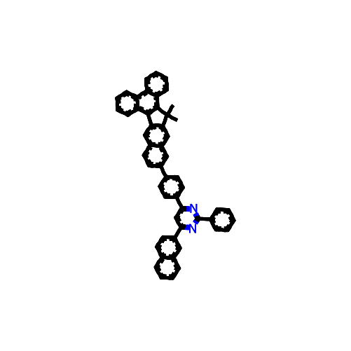 CC1(C)c2cc3cc(-c4ccc(-c5cc(-c6ccc7ccccc7c6)nc(-c6ccccc6)n5)cc4)ccc3cc2-c2c1c1ccccc1c1ccccc21